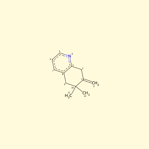 C=C1Cc2ncccc2CC1(C)C